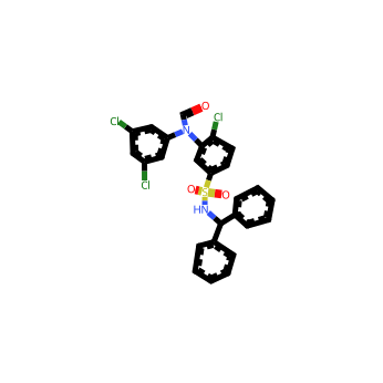 O=CN(c1cc(Cl)cc(Cl)c1)c1cc(S(=O)(=O)NC(c2ccccc2)c2ccccc2)ccc1Cl